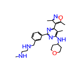 CNCCNCc1cccc(-c2nc(NC3CCOCC3)c(C)c(-c3c(C)noc3C)n2)c1